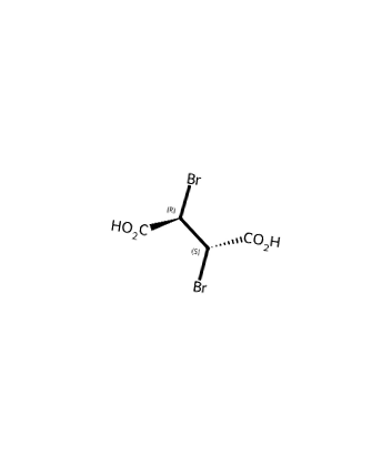 O=C(O)[C@@H](Br)[C@@H](Br)C(=O)O